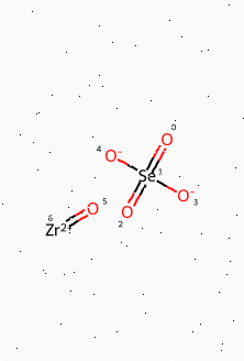 O=[Se](=O)([O-])[O-].[O]=[Zr+2]